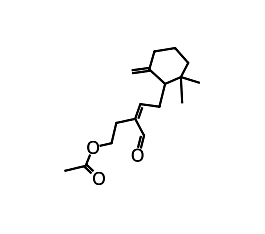 C=C1CCCC(C)(C)C1CC=C(C=O)CCOC(C)=O